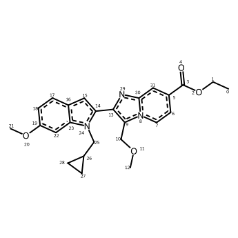 CCOC(=O)c1ccn2c(COC)c(-c3cc4ccc(OC)cc4n3CC3CC3)nc2c1